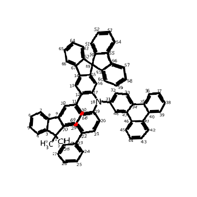 CC1(C)c2ccccc2-c2cc(-c3cc4c(cc3N(c3ccc(-c5ccccc5)cc3)c3ccc5c6ccccc6c6ccccc6c5c3)C3(c5ccccc5-c5ccccc53)c3ccccc3-4)ccc21